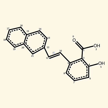 O=C(O)c1c(O)cccc1/C=C/c1ccc2ccccc2c1